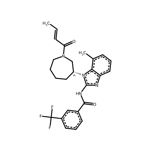 CC=CC(=O)N1CCCC[C@@H](n2c(NC(=O)c3cccc(C(F)(F)F)c3)nc3cccc(C)c32)C1